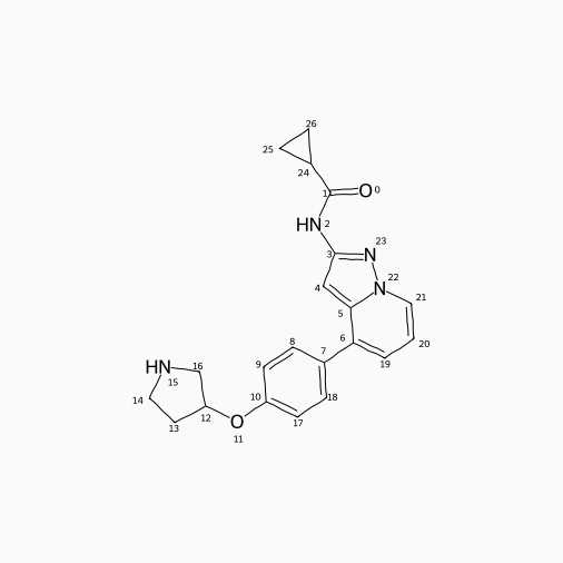 O=C(Nc1cc2c(-c3ccc(OC4CCNC4)cc3)cccn2n1)C1CC1